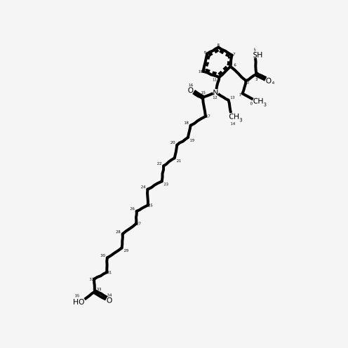 CCC(C(=O)S)c1ccccc1N(CC)C(=O)CCCCCCCCCCCCCCCCC(=O)O